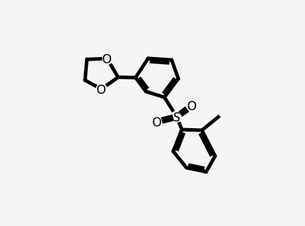 Cc1ccccc1S(=O)(=O)c1cccc(C2OCCO2)c1